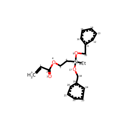 C=CC(=O)OCC[Si](CC)(OCc1ccccc1)OCc1ccccc1